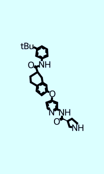 CC(C)(C)c1cccc(NC(=O)C2CCc3ccc(Oc4ccnc(NC(=O)[C@H]5CCNC5)c4)cc3C2)c1